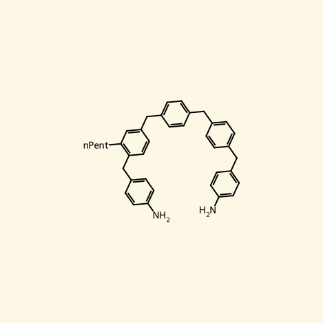 CCCCCc1cc(Cc2ccc(Cc3ccc(Cc4ccc(N)cc4)cc3)cc2)ccc1Cc1ccc(N)cc1